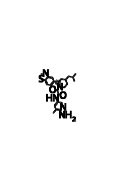 Cc1cc(NC(=O)C(=O)N2CCC(CC(C)C)C[C@H]2c2ccc3scnc3c2)cnc1N